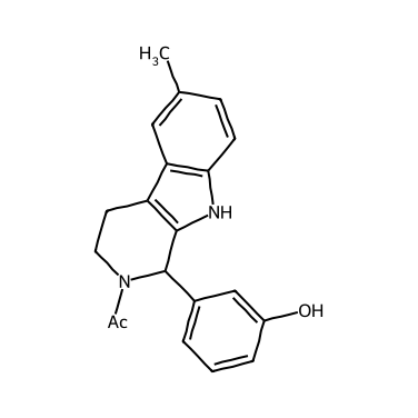 CC(=O)N1CCc2c([nH]c3ccc(C)cc23)C1c1cccc(O)c1